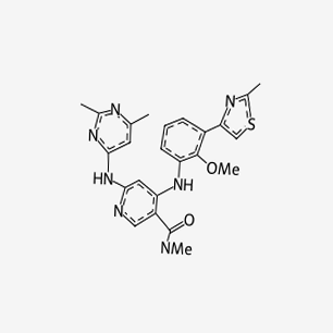 CNC(=O)c1cnc(Nc2cc(C)nc(C)n2)cc1Nc1cccc(-c2csc(C)n2)c1OC